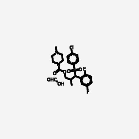 CC(COC(=O)N1CCN(C)CC1)C(c1cc(F)ccc1F)S(=O)(=O)c1ccc(Cl)cc1.O=CO